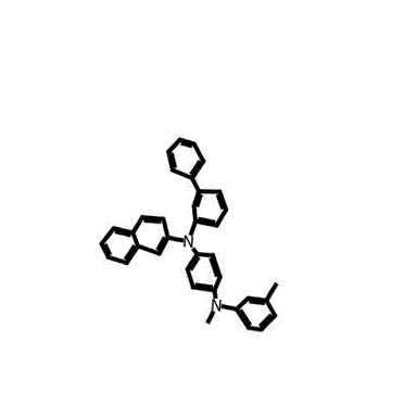 Cc1cccc(N(C)c2ccc(N(c3cccc(-c4ccccc4)c3)c3ccc4ccccc4c3)cc2)c1